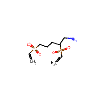 C=CS(=O)(=O)CCCC(CN)S(=O)(=O)C=C